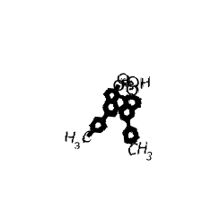 Cc1ccc(-c2ccc3c4c(ccc3c2)OP(=O)(O)Oc2ccc3cc(-c5ccc(C)cc5)ccc3c2-4)cc1